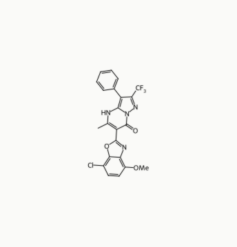 COc1ccc(Cl)c2oc(-c3c(C)[nH]c4c(-c5ccccc5)c(C(F)(F)F)nn4c3=O)nc12